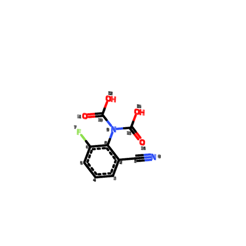 N#Cc1cccc(F)c1N(C(=O)O)C(=O)O